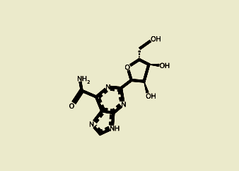 NC(=O)c1nc(C2O[C@H](CO)[C@@H](O)[C@H]2O)nc2[nH]cnc12